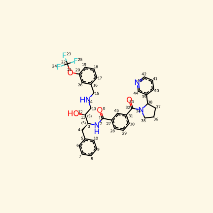 O=C(N[C@@H](Cc1ccccc1)[C@@H](O)CNCc1cccc(OC(F)(F)F)c1)c1cccc(C(=O)N2CCCC2c2cccnc2)c1